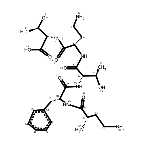 C[C@@H](O)[C@H](NC(=O)[C@H](CCN)NC(=O)[C@@H](NC(=O)[C@@H](Cc1ccccc1)NC(=O)[C@@H](N)CCN)[C@@H](C)O)C(=O)O